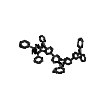 c1ccc(-c2nc(-c3ccccc3)c3c4cc(-c5ccc6c(c5)c5cc(-c7ccc8c(c7)c7ccccc7n8-c7ccccc7)ccc5n6-c5ccccc5)ccc4n(-c4ccccc4)c3n2)cc1